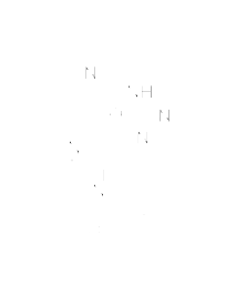 C=C(C#N)CNc1c(OC)ccc2ccc(-c3ccnc(C(=O)N[C@H]4CCCN(C)C4)n3)cc12